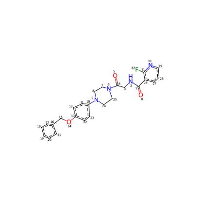 O=C(NCC(=O)N1CCN(c2ccc(OCc3ccccc3)cc2)CC1)c1cccnc1F